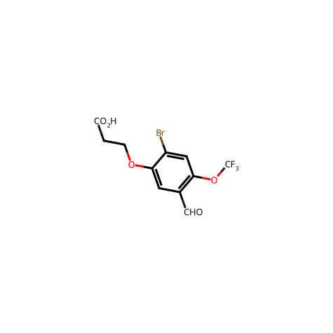 O=Cc1cc(OCCC(=O)O)c(Br)cc1OC(F)(F)F